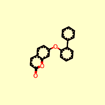 O=c1ccc2ccc(Oc3ccccc3-c3ccccc3)cc2o1